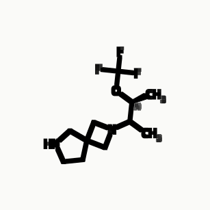 CC([C@H](C)OC(F)(F)F)N1CC2(CCNC2)C1